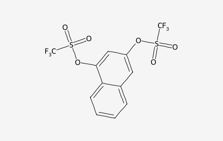 O=S(=O)(Oc1cc(OS(=O)(=O)C(F)(F)F)c2ccccc2c1)C(F)(F)F